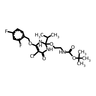 CC(C)C1(OCCNC(=O)OC(C)(C)C)NC(=O)C(Cl)=C(OCc2ccc(F)cc2F)N1